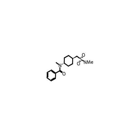 CNS(=O)(=O)C[C@H]1CC[C@H](N(C)C(=O)c2ccccc2)CC1